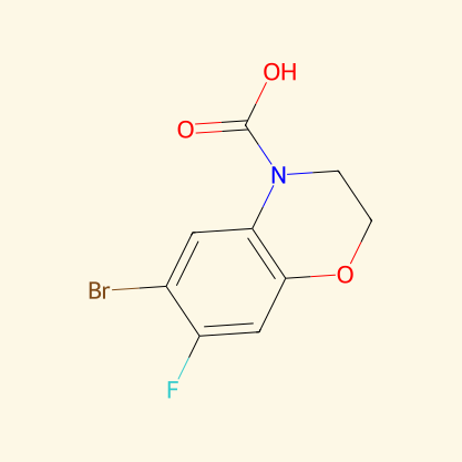 O=C(O)N1CCOc2cc(F)c(Br)cc21